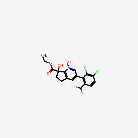 CCOC(=O)C1(O)CCc2cc(-c3c(C(F)F)ccc(Cl)c3F)c[n+](O)c21